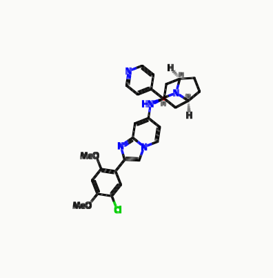 COc1cc(OC)c(-c2cn3ccc(N[C@H]4C[C@H]5CC[C@@H](C4)N5Cc4ccncc4)cc3n2)cc1Cl